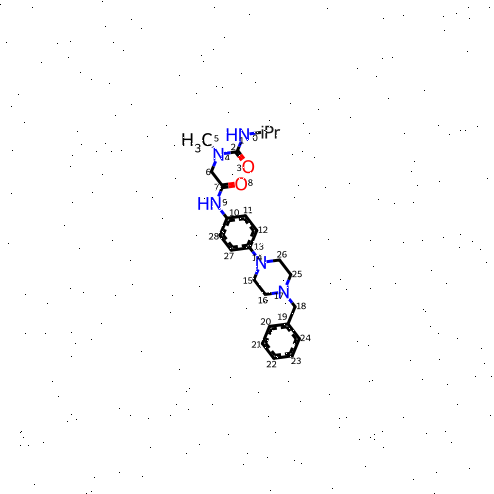 CC(C)NC(=O)N(C)CC(=O)Nc1ccc(N2CCN(Cc3ccccc3)CC2)cc1